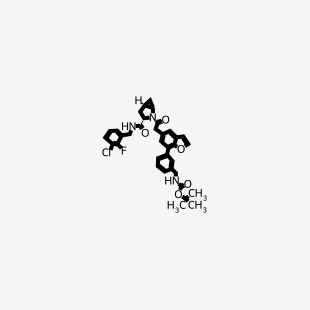 CC(C)(C)OC(=O)NCc1cccc(-c2cc(CC(=O)N3C4C[C@@H]4C[C@H]3C(=O)NCc3cccc(Cl)c3F)cc3ccoc23)c1